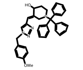 COc1ccc(Cn2cc(C=C3CN(C(c4ccccc4)(c4ccccc4)c4ccccc4)CCC3O)nn2)cc1